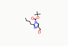 CCCCc1nc(C=O)cn1C(=O)OC(C)(C)C